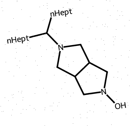 CCCCCCCC(CCCCCCC)N1CC2CN(O)CC2C1